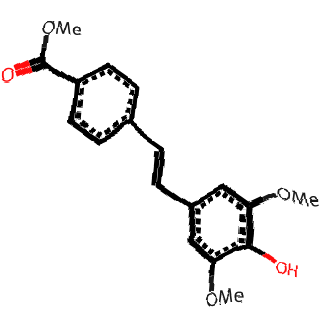 COC(=O)c1ccc(C=Cc2cc(OC)c(O)c(OC)c2)cc1